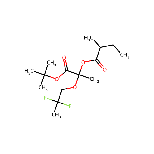 CCC(C)C(=O)OC(C)(OCC(C)(F)F)C(=O)OC(C)(C)C